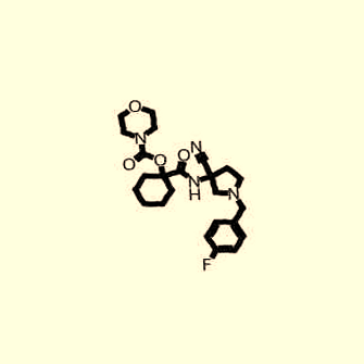 N#CC1(NC(=O)C2(OC(=O)N3CCOCC3)CCCCC2)CCN(Cc2ccc(F)cc2)C1